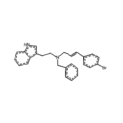 Brc1ccc(C=CCN(CCc2c[nH]c3ccccc23)Cc2ccccc2)cc1